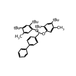 Cc1cc(OP(Oc2cc(C)c(C(C)(C)C)cc2C(C)(C)C)c2ccc(-c3ccccc3)cc2)c(C(C)(C)C)cc1C(C)(C)C